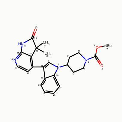 CC(C)(C)OC(=O)N1CCC(n2cc(-c3ccnc4c3C(C)(C)C(=O)N4)c3ccccc32)CC1